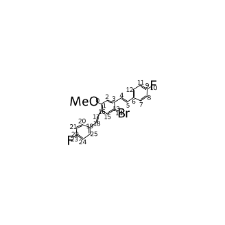 COc1cc(/C=C/c2ccc(F)cc2)c(Br)cc1/C=C/c1ccc(F)cc1